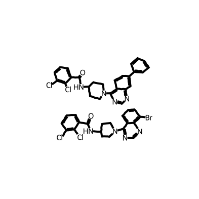 O=C(NC1CCN(c2ncnc3c(Br)cccc23)CC1)c1cccc(Cl)c1Cl.O=C(NC1CCN(c2ncnc3cc(-c4ccccc4)ccc23)CC1)c1cccc(Cl)c1Cl